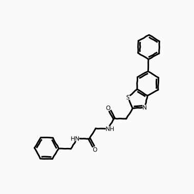 O=C(CNC(=O)Cc1nc2ccc(-c3ccccc3)cc2s1)NCc1ccccc1